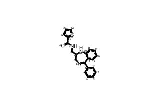 O=C(NCC1CN=C(c2ccccc2)c2ccccc2N1)c1cccs1